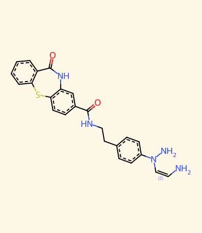 N/C=C\N(N)c1ccc(CCNC(=O)c2ccc3c(c2)NC(=O)c2ccccc2S3)cc1